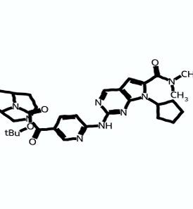 CN(C)C(=O)c1cc2cnc(Nc3ccc(C(=O)N4CCC5CCC(C4)N5C(=O)OC(C)(C)C)cn3)nc2n1C1CCCC1